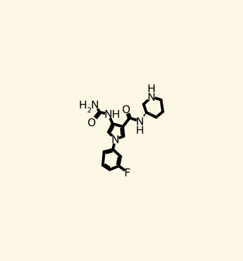 NC(=O)Nc1cn(-c2cccc(F)c2)cc1C(=O)N[C@H]1CCCNC1